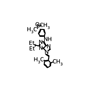 CCC(CC)c1nc(Nc2ccc(P(C)(C)=O)cc2)c2ncn(/C=C/c3c(C)cccc3C)c2n1